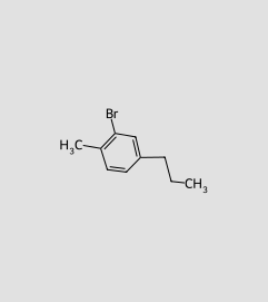 CCCc1ccc(C)c(Br)c1